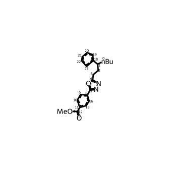 CCCCC(CCc1nnc(-c2ccc(C(=O)OC)cc2)o1)c1ccccc1